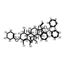 C=CC1(O[Si](c2ccccc2)(c2ccccc2)c2ccccc2)CC[C@H]2[C@@H]3C(C)C(C)C4=C(C)C(OC5=CCCCC5)CC(C)[C@]4(C=O)[C@@H]3CC[C@@]21C